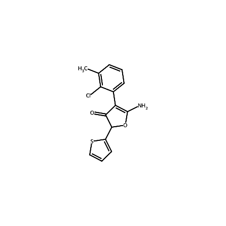 Cc1cccc(C2=C(N)OC(c3cccs3)C2=O)c1Cl